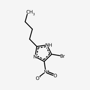 CCCCc1nc([N+](=O)[O-])c(Br)[nH]1